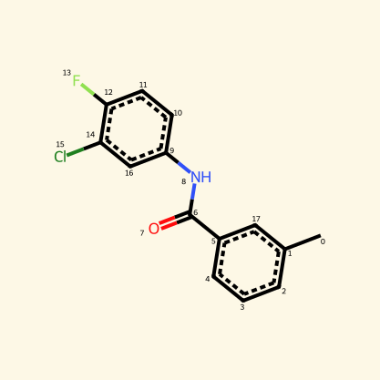 Cc1cccc(C(=O)Nc2ccc(F)c(Cl)c2)c1